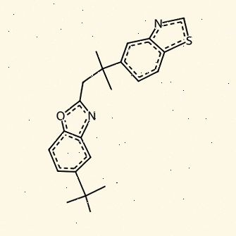 CC(C)(C)c1ccc2oc(CC(C)(C)c3ccc4scnc4c3)nc2c1